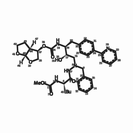 COC(=O)N[C@H](C(=O)NN(Cc1ccccc1)C[C@H](O)[C@H](Cc1ccc(-c2ccccn2)cc1)NC(=O)O[C@H]1CO[C@H]2OCC[C@H]21)C(C)(C)C